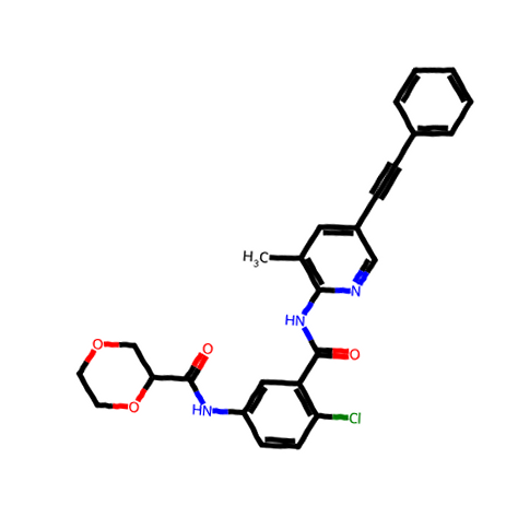 Cc1cc(C#Cc2ccccc2)cnc1NC(=O)c1cc(NC(=O)C2COCCO2)ccc1Cl